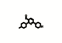 CC1CCN(c2nc(N3CCNCC3)ccc2N=O)CC1